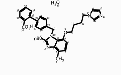 CCCCc1nc2c(C)ccc(OCCCCn3ccnc3)c2n1Cc1ccc(-c2ccccc2C(=O)O)cc1.O